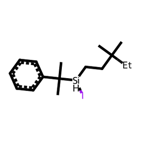 CCC(C)(C)CC[SiH](I)C(C)(C)c1ccccc1